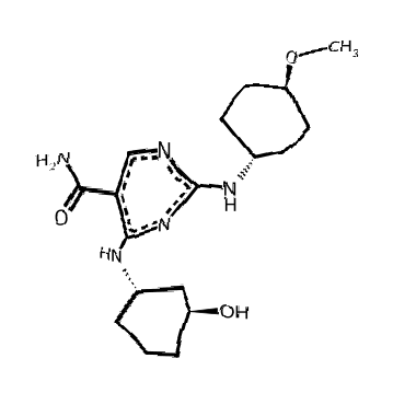 CO[C@H]1CC[C@H](Nc2ncc(C(N)=O)c(N[C@H]3CCC[C@H](O)C3)n2)CC1